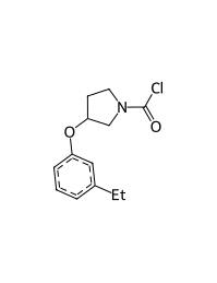 CCc1cccc(OC2CCN(C(=O)Cl)C2)c1